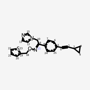 C(#CC1CC1)c1ccc(/C(Cn2ccnc2)=N/OCc2cccs2)cc1